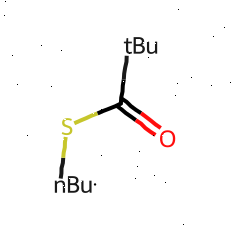 CCC[CH]SC(=O)C(C)(C)C